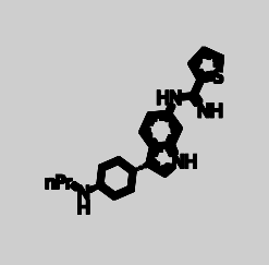 CCCN[C@H]1CC[C@H](c2c[nH]c3cc(NC(=N)c4cccs4)ccc32)CC1